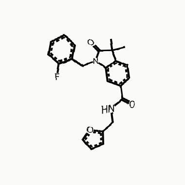 CC1(C)C(=O)N(Cc2ccccc2F)c2cc(C(=O)NCc3ccco3)ccc21